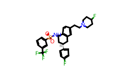 O=S(=O)(N[C@@H]1C[C@@H](c2ccc(F)cc2)Cc2cc(CCN3CCC(F)CC3)ccc21)c1cccc(C(F)(F)F)c1